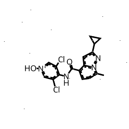 Cc1ccc(C(=O)Nc2c(Cl)c[n+](O)cc2Cl)c2cc(C3CC3)nn12